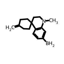 Bc1ccc2c(c1)N(C)CCC21CCC(=C)CC1